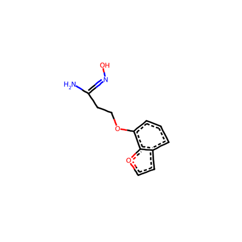 NC(CCOc1cccc2ccoc12)=NO